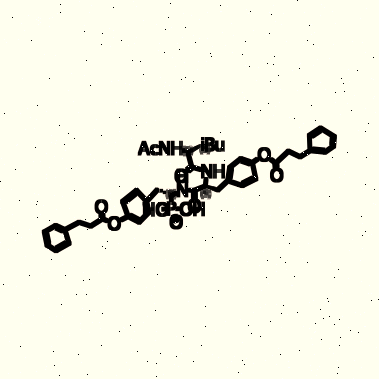 CC[C@H](C)[C@H](NC(C)=O)C(=O)N[C@@H](Cc1ccc(OC(=O)CCc2ccccc2)cc1)C(=O)N[C@@H](Cc1ccc(OC(=O)CCc2ccccc2)cc1)P(=O)(O)O